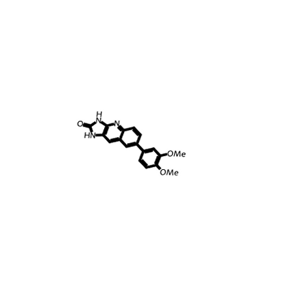 COc1ccc(-c2ccc3nc4[nH]c(=O)[nH]c4cc3c2)cc1OC